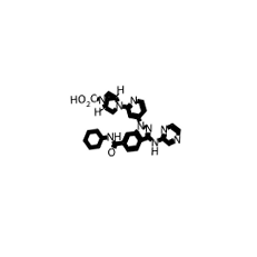 O=C(NC1CCCCC1)c1ccc2c(Nc3cnccn3)nn(-c3ccnc(N4C[C@@H]5C[C@H]4CN5C(=O)O)c3)c2c1